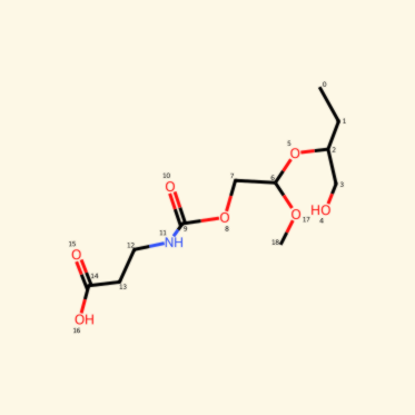 CCC(CO)OC(COC(=O)NCCC(=O)O)OC